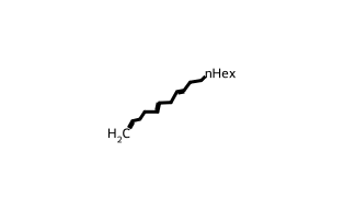 C=CCCC=CCC=CCCCCCCCC